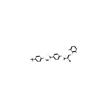 N#C/C(=C\Nc1c(F)cccc1F)C(=O)Nc1ccc(C(=N)/N=C\Nc2ccc(C(F)(F)F)cc2)cc1